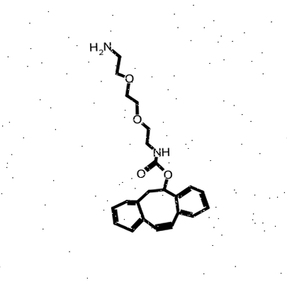 NCCOCCOCCNC(=O)OC1Cc2ccccc2C#Cc2ccccc21